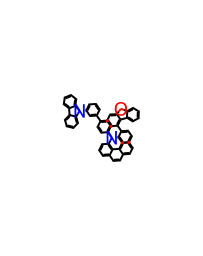 c1cc(-c2ccc(N(c3ccccc3-c3cccc4oc5ccccc5c34)c3cccc4ccc5ccccc5c34)cc2)cc(-n2c3ccccc3c3ccccc32)c1